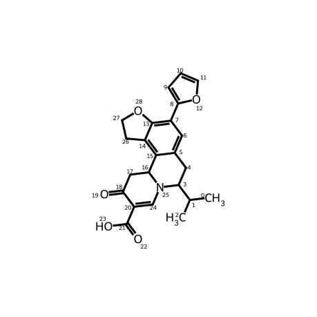 CC(C)C1Cc2cc(-c3ccco3)c3c(c2C2CC(=O)C(C(=O)O)=CN21)CCO3